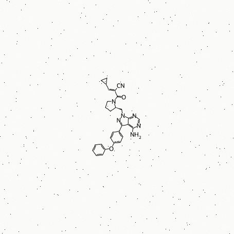 N#CC(=CC1CC1)C(=O)N1CCC[C@@H]1Cn1nc(-c2ccc(Oc3ccccc3)cc2)c2c(N)ncnc21